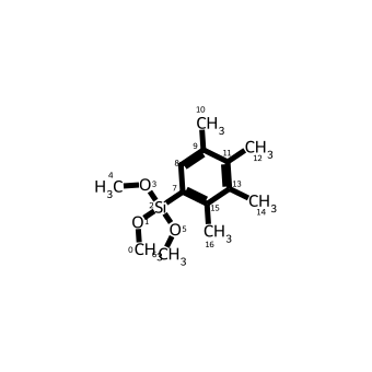 CO[Si](OC)(OC)c1cc(C)c(C)c(C)c1C